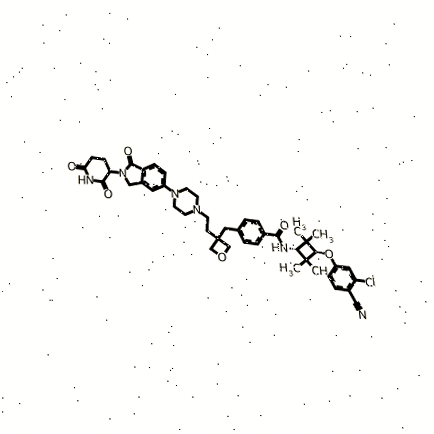 CC1(C)[C@H](NC(=O)c2ccc(CC3(CCN4CCN(c5ccc6c(c5)CN(C5CCC(=O)NC5=O)C6=O)CC4)COC3)cc2)C(C)(C)[C@H]1Oc1ccc(C#N)c(Cl)c1